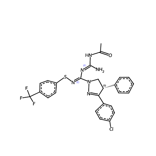 CC(=O)N/C(N)=N/C(=N\Sc1ccc(C(F)(F)F)cc1)N1C[C@H](c2ccccc2)C(c2ccc(Cl)cc2)=N1